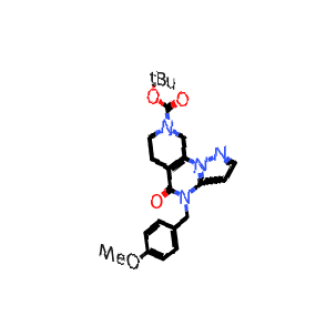 COc1ccc(Cn2c(=O)c3c(n4nccc24)CN(C(=O)OC(C)(C)C)CC3)cc1